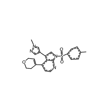 Cc1ccc(S(=O)(=O)n2cc(-c3cnn(C)c3)c3c(C4=CCOCC4)ccnc32)cc1